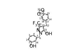 Oc1cccc(Cn2nc(C(F)(F)F)c(Cc3ccc4c(c3)OCO4)c2O)c1